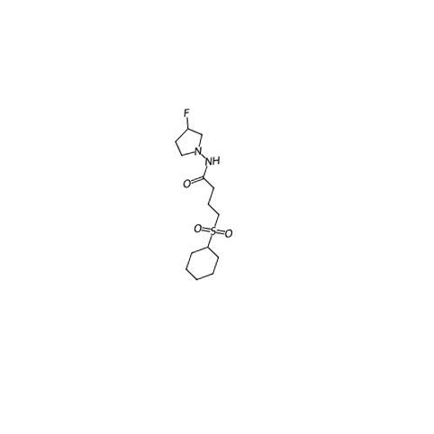 O=C(CCCS(=O)(=O)C1CCCCC1)NN1CCC(F)C1